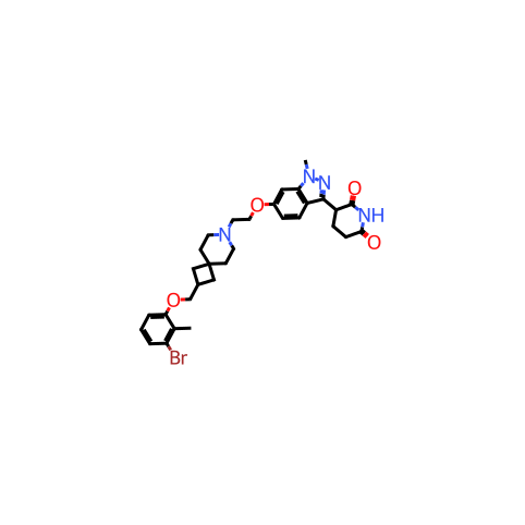 Cc1c(Br)cccc1OCC1CC2(CCN(CCOc3ccc4c(C5CCC(=O)NC5=O)nn(C)c4c3)CC2)C1